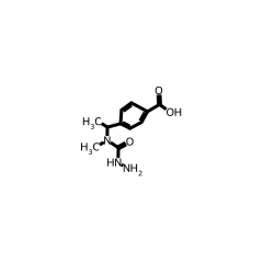 CC(c1ccc(C(=O)O)cc1)N(C)C(=O)NN